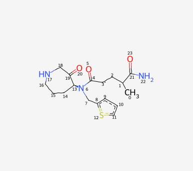 CC(C[CH]C(=O)N(Cc1cccs1)[C@H]1CCCNCC1=O)C(N)=O